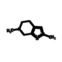 CN1CCc2cn(C)nc2C1